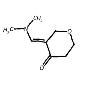 CN(C)/C=C1\COCCC1=O